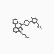 COCCn1cc(C(=O)N2CCC(c3cc(CN)ccc3F)CC2)c2c(-c3cncnc3)cccc21